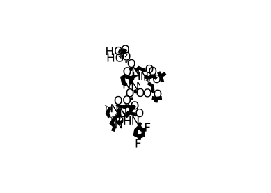 CC1=NO[C@@]2(CC[C@H](C)N3C[C@H]2n2cc(C(=O)NCc4ccc(F)cc4F)c(=O)c(OCOC(=O)N(C)c4ncccc4CN(CC(=O)N[C@@H](CCC(=O)OC(C)(C)C)C(=O)OC(C)(C)C)C(=O)OCOP(=O)(O)O)c2C3=O)C1